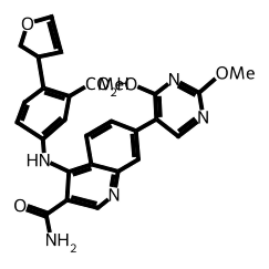 COc1ncc(-c2ccc3c(Nc4ccc(C5C=COC5)c(C(=O)O)c4)c(C(N)=O)cnc3c2)c(OC)n1